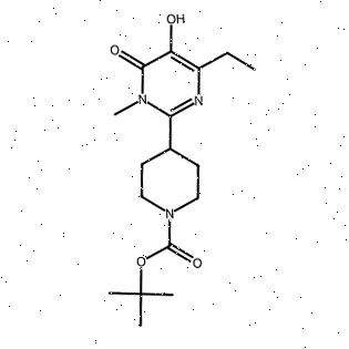 CCc1nc(C2CCN(C(=O)OC(C)(C)C)CC2)n(C)c(=O)c1O